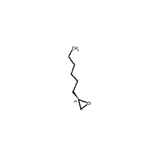 CCCCCC[C@@H]1CO1